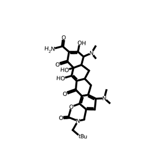 CN(C)c1cc2c(c3c1CC1CC4C(N(C)C)C(O)=C(C(N)=O)C(=O)C4(O)C(O)=C1C3=O)OC(=O)N(CC(C)(C)C)C2